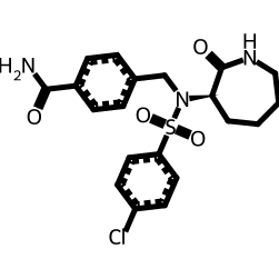 NC(=O)c1ccc(CN([C@@H]2CCCCNC2=O)S(=O)(=O)c2ccc(Cl)cc2)cc1